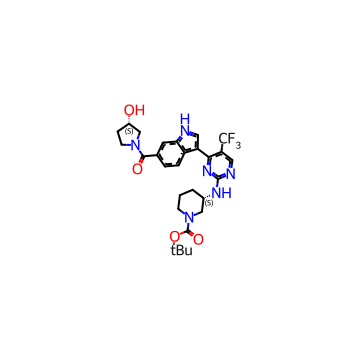 CC(C)(C)OC(=O)N1CCC[C@H](Nc2ncc(C(F)(F)F)c(-c3c[nH]c4cc(C(=O)N5CC[C@H](O)C5)ccc34)n2)C1